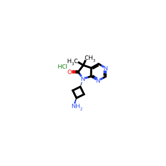 CC1(C)C(=O)N([C@H]2C[C@H](N)C2)c2ncncc21.Cl